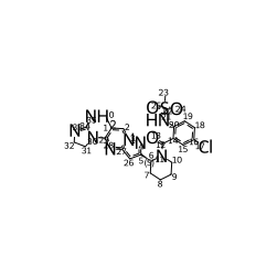 Cc1cn2nc([C@@H]3CCCCN3C(=O)c3cc(Cl)ccc3NS(C)(=O)=O)cc2nc1N1CCN=C1N